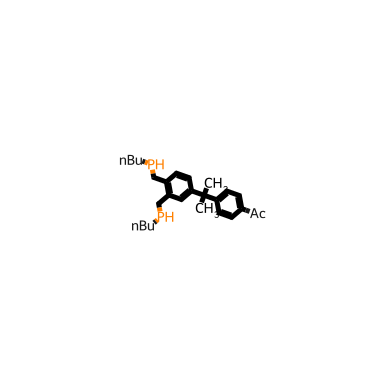 CCCCPCc1ccc(C(C)(C)c2ccc(C(C)=O)cc2)cc1CPCCCC